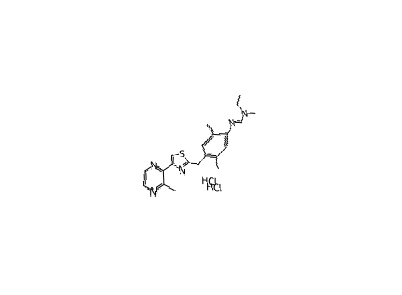 CCN(C)C=Nc1cc(C)c(Cc2nc(-c3nccnc3C)cs2)cc1C.Cl.Cl